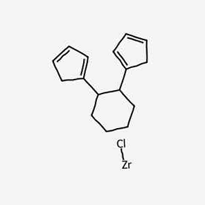 C1=CCC(C2CCCCC2C2=CC=CC2)=C1.[Cl][Zr]